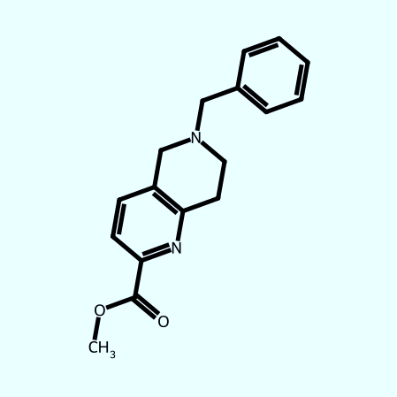 COC(=O)c1ccc2c(n1)CCN(Cc1ccccc1)C2